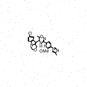 COc1nc(C2=NOC(C)C(c3c4n(c5ccc(Cl)cc35)CCOC4)N2)ccc1-n1cnc(C)c1